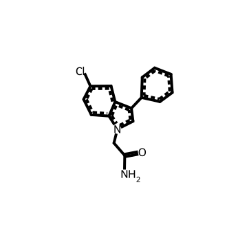 NC(=O)Cn1cc(-c2ccccc2)c2cc(Cl)ccc21